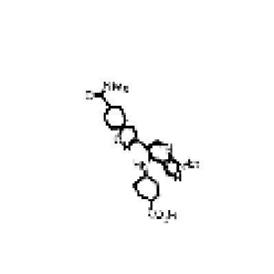 CCn1ncc2c(NC3CCC(C(=O)O)CC3)c(C3=NOC4(CCC(C(=O)NC)CC4)C3)cnc21